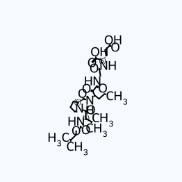 CCCC(NC(=O)[C@@H]1CCCN1C(=O)[C@@H](NC(=O)OCC(C)C)C(C)C)C(=O)C(=O)NCC(=O)N[C@@H](CCC(=O)O)C(=O)O